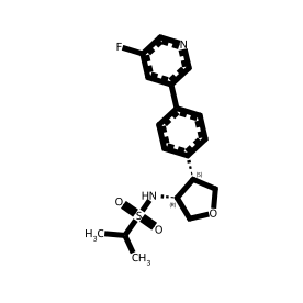 CC(C)S(=O)(=O)N[C@H]1COC[C@H]1c1ccc(-c2cncc(F)c2)cc1